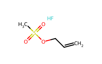 C=CCOS(C)(=O)=O.F